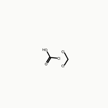 ClCCl.O=C(O)Cl